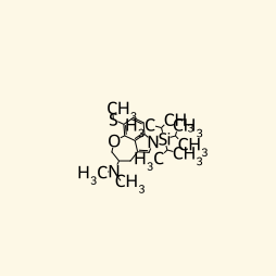 CSc1ccc2c3c(cn2[Si](C(C)C)(C(C)C)C(C)C)CC(N(C)C)COc13